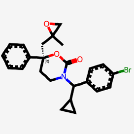 CC1(C[C@@]2(c3ccccc3)CCN(C(c3ccc(Br)cc3)C3CC3)C(=O)O2)CO1